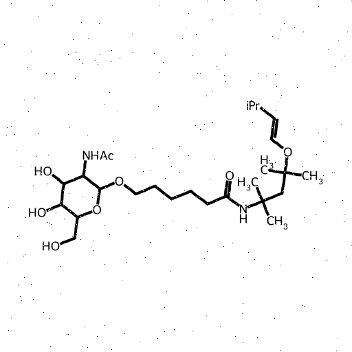 CC(=O)NC1C(OCCCCCC(=O)NC(C)(C)CC(C)(C)OC=CC(C)C)OC(CO)C(O)C1O